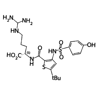 CC(C)(C)c1cc(NS(=O)(=O)c2ccc(O)cc2)c(C(=O)N[C@@H](CCCNC(N)N)C(=O)O)s1